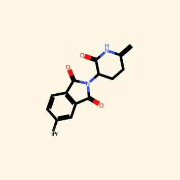 C=C1CCC(N2C(=O)c3ccc(C(C)C)cc3C2=O)C(=O)N1